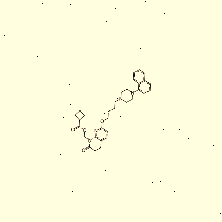 O=C(OCN1C(=O)CCc2ccc(OCCCCN3CCN(c4cccc5ccccc45)CC3)nc21)C1CCC1